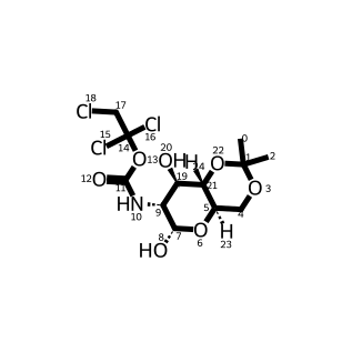 CC1(C)OC[C@H]2O[C@H](O)[C@H](NC(=O)OC(Cl)(Cl)CCl)[C@@H](O)[C@@H]2O1